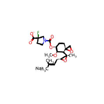 CO[C@@H]1[C@H](OC(=O)N2CCC(F)(C(=O)[O-])C2)CC[C@]2(CO2)[C@H]1[C@@]1(C)O[C@@H]1CC=C(C)C.[Na+]